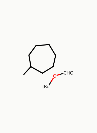 CC(C)(C)OC=O.CC1CCCCCC1